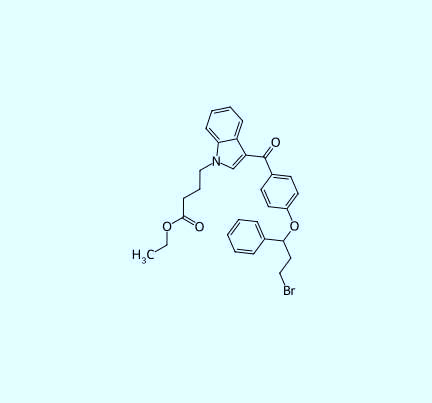 CCOC(=O)CCCn1cc(C(=O)c2ccc(OC(CCBr)c3ccccc3)cc2)c2ccccc21